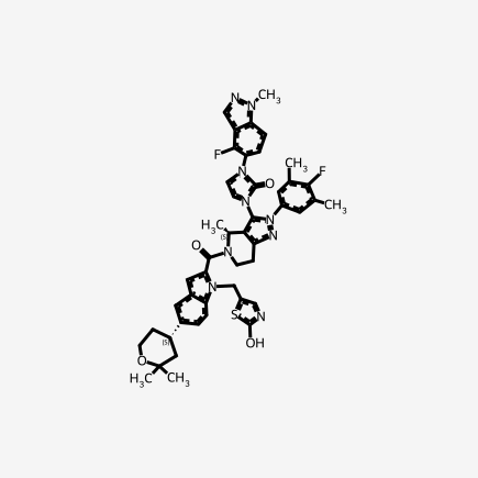 Cc1cc(-n2nc3c(c2-n2ccn(-c4ccc5c(cnn5C)c4F)c2=O)[C@H](C)N(C(=O)c2cc4cc([C@H]5CCOC(C)(C)C5)ccc4n2Cc2cnc(O)s2)CC3)cc(C)c1F